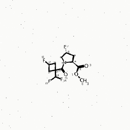 COC(=O)[C@@H]1C[C@@H](F)CN1C(=O)C1(C(F)F)CC(F)C1